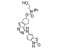 CC(C)N(CCO)C(=O)OC1CCc2c(sc3ncnc(Nc4ccc5[nH]c(=O)sc5c4)c23)C1